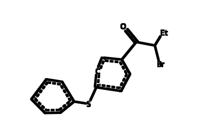 CCC(Br)C(=O)c1ccc(Sc2ccccc2)cc1